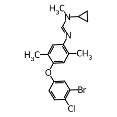 Cc1cc(Oc2ccc(Cl)c(Br)c2)c(C)cc1N=CN(C)C1CC1